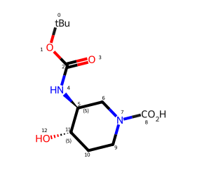 CC(C)(C)OC(=O)N[C@H]1CN(C(=O)O)CC[C@@H]1O